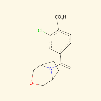 C=C(c1ccc(C(=O)O)c(Cl)c1)N1C2CCC1COC2